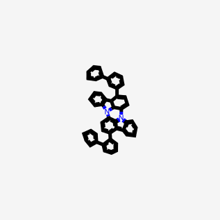 C1=C(c2cccc(-c3ccccc3)c2)C2c3ccccc3N3c4ccc(-c5ccccc5-c5ccccc5)c5c6ccccc6n(c45)C(=C1)C23